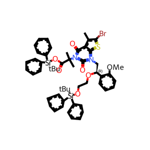 COc1ccccc1[C@H](Cn1c(=O)n(C(C)(C)C(=O)O[Si](c2ccccc2)(c2ccccc2)C(C)(C)C)c(=O)c2c(C)c(Br)sc21)OCCO[Si](c1ccccc1)(c1ccccc1)C(C)(C)C